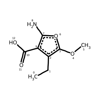 CCc1c(OC)oc(N)c1C(=O)O